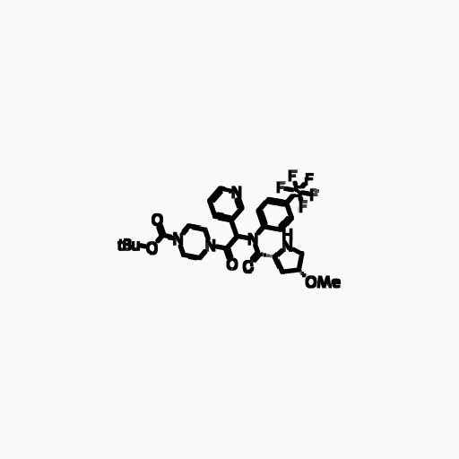 CO[C@H]1CN[C@@H](C(=O)N(c2ccc(S(F)(F)(F)(F)F)cc2)C(C(=O)N2CCN(C(=O)OC(C)(C)C)CC2)c2cccnc2)C1